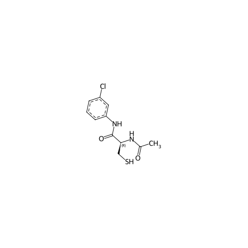 CC(=O)N[C@@H](CS)C(=O)Nc1cccc(Cl)c1